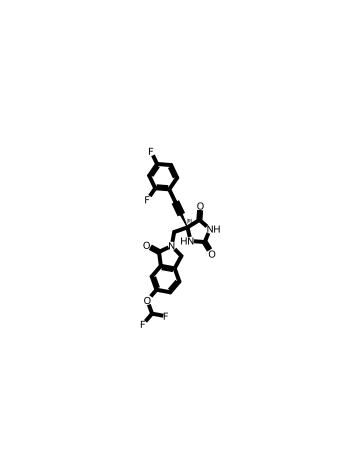 O=C1NC(=O)[C@@](C#Cc2ccc(F)cc2F)(CN2Cc3ccc(OC(F)F)cc3C2=O)N1